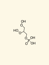 O=P(O)(O)OCC(COO)OO